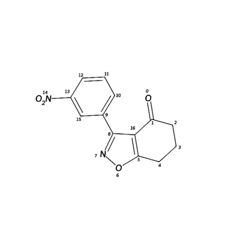 O=C1CCCc2onc(-c3cccc([N+](=O)[O-])c3)c21